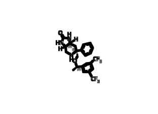 C[C@@H](OC[C@@]1(c2ccccc2)C[C@H]2NC(=O)N[C@H]2CN1)c1cc(C(F)(F)F)cc(C(F)(F)F)c1